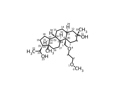 COCCOC[C@]12CC[C@@](C)(O)C[C@@H]1CC[C@H]1[C@@H]3CC[C@H](C(C)O)[C@@]3(C)CC[C@@H]12